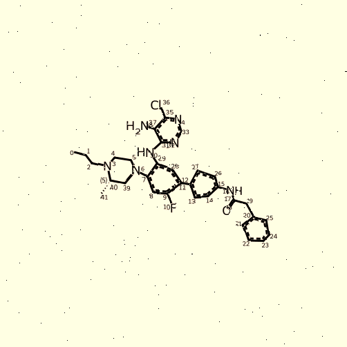 CCCN1CCN(c2cc(F)c(-c3ccc(NC(=O)Cc4ccccc4)cc3)cc2Nc2ncnc(Cl)c2N)C[C@@H]1C